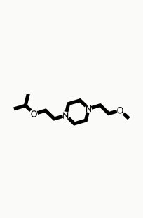 COCCN1CCN(CCOC(C)C)CC1